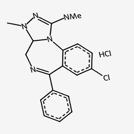 CNC1=NN(C)C2CN=C(c3ccccc3)c3cc(Cl)ccc3N12.Cl